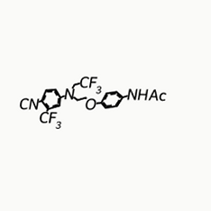 [C-]#[N+]c1ccc(N(CCOc2ccc(NC(C)=O)cc2)CC(F)(F)F)cc1C(F)(F)F